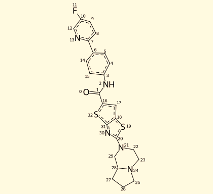 O=C(Nc1ccc(-c2ccc(F)cn2)cc1)c1cc2sc(N3CCN4CCCC4C3)nc2s1